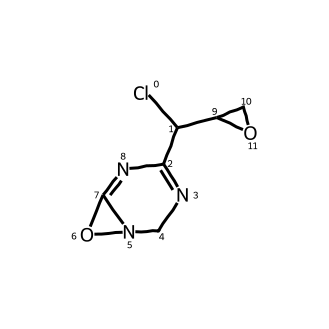 ClC(C1=NCN2OC2=N1)C1CO1